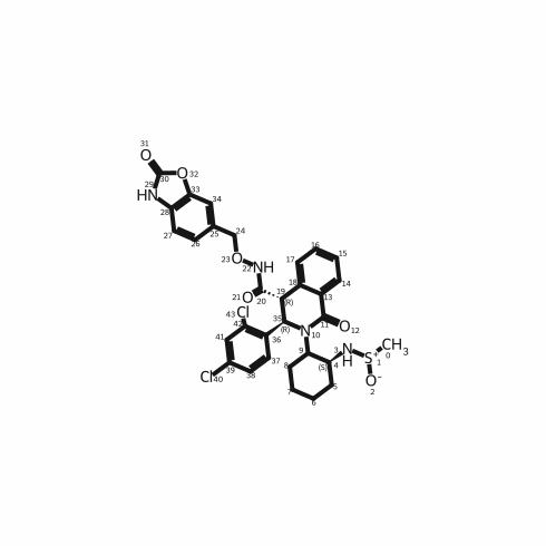 C[S+]([O-])N[C@H]1CCCCC1N1C(=O)c2ccccc2[C@@H](C(=O)NOCc2ccc3[nH]c(=O)oc3c2)[C@@H]1c1ccc(Cl)cc1Cl